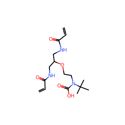 C=CC(=O)NCC(CNC(=O)C=C)OCCN(C(=O)O)C(C)(C)C